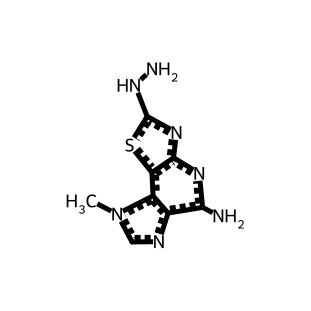 Cn1cnc2c(N)nc3nc(NN)sc3c21